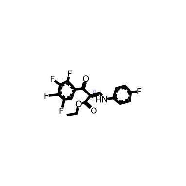 CCOC(=O)/C(=C\Nc1ccc(F)cc1)C(=O)c1cc(F)c(F)c(F)c1F